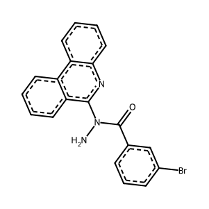 NN(C(=O)c1cccc(Br)c1)c1nc2ccccc2c2ccccc12